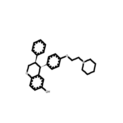 Oc1ccc2c(c1)[C@@H](c1ccc(OCCN3CCCCC3)cc1)[C@H](c1ccccc1)CO2